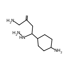 C=C(CN)CC(NN)C1CCC(N)CC1